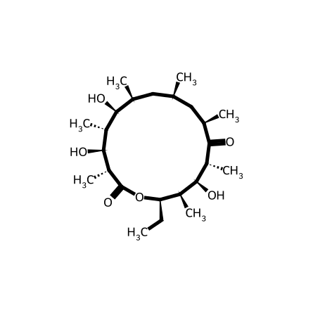 CC[C@H]1OC(=O)[C@H](C)[C@@H](O)[C@H](C)[C@@H](O)[C@@H](C)C[C@@H](C)C[C@@H](C)C(=O)[C@H](C)[C@@H](O)[C@H]1C